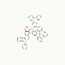 c1ccc(N(c2ccc3c4ccccc4c4ccccc4c3c2)c2cc3c(cc2-c2cccc4c2ccc2c4c4ccccc4n2-c2ccccc2)-c2ccccc2C32c3ccccc3-c3ccccc32)cc1